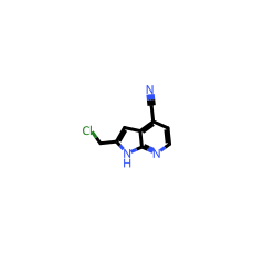 N#Cc1ccnc2[nH]c(CCl)cc12